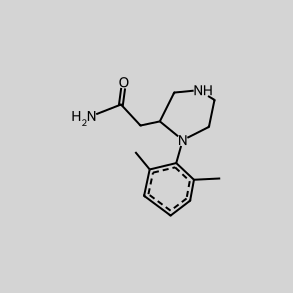 Cc1cccc(C)c1N1CCNCC1CC(N)=O